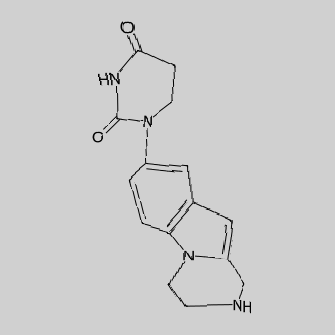 O=C1CCN(c2ccc3c(c2)cc2n3CCNC2)C(=O)N1